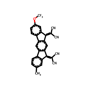 Cc1ccc2c(c1)C(=C(C#N)C#N)c1cc3c(cc1-2)-c1ccc(OC(F)(F)F)cc1C3=C(C#N)C#N